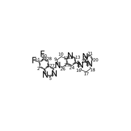 Fc1cc2ncnc(N3CCc4ncc(N5CCCn6ccnc65)cc4C3)c2cc1F